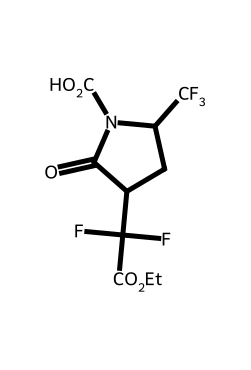 CCOC(=O)C(F)(F)C1CC(C(F)(F)F)N(C(=O)O)C1=O